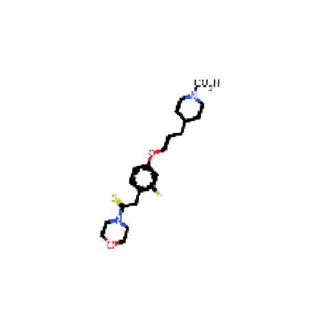 O=C(O)N1CCC(CCCOc2ccc(CC(=S)N3CCOCC3)c(F)c2)CC1